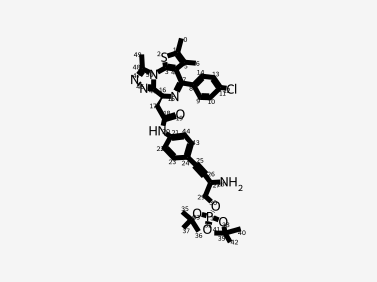 Cc1sc2c(c1C)C(c1ccc(Cl)cc1)=N[C@@H](CC(=O)Nc1ccc(C#CC(N)COP(=O)(OC(C)(C)C)OC(C)(C)C)cc1)c1nnc(C)n1-2